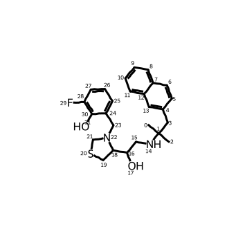 CC(C)(Cc1ccc2ccccc2c1)NCC(O)C1CSCN1Cc1cccc(F)c1O